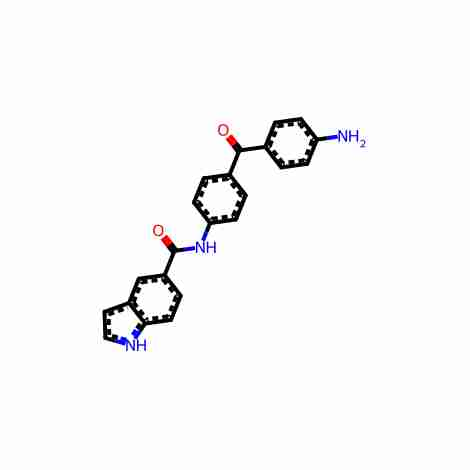 Nc1ccc(C(=O)c2ccc(NC(=O)c3ccc4[nH]ccc4c3)cc2)cc1